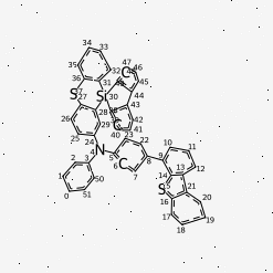 c1ccc(N(c2ccc(-c3cccc4c3sc3ccccc34)cc2)c2ccc3c(c2)[Si]2(c4ccccc4S3)c3ccccc3-c3ccccc32)cc1